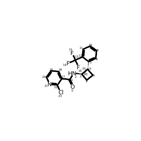 O=C(N[C@@H]1CC[C@H]1c1ccccc1C(F)(F)F)c1cccnc1Cl